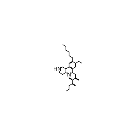 C=C(CCC)C1=CN2C(CC1=C)c1cc(CC)c(CCCCCC)cc1C1CNCCC12